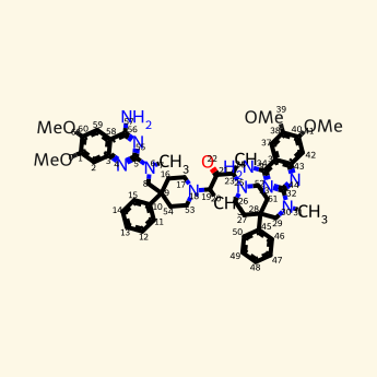 COc1cc2nc(N(C)CC3(c4ccccc4)CCN(C(C)C(=O)C(C)N4CCC(CN(C)c5nc(N)c6cc(OC)c(OC)cc6n5)(c5ccccc5)CC4)CC3)nc(N)c2cc1OC